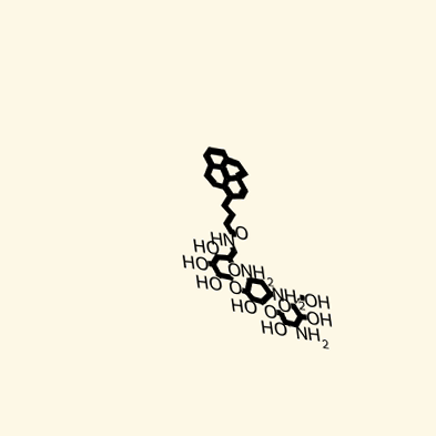 NC1CC(N)C(O[C@H]2OC(CNC(=O)CCCc3ccc4ccc5cccc6ccc3c4c56)[C@@H](O)C(O)C2O)[C@H](O)C1OC1O[C@H](CO)C(O)[C@@H](N)[C@H]1O